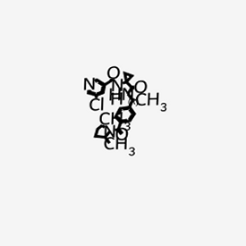 CC1CCC(C)N1C(=O)c1ccc([C@@H](C)NC(=O)C2(NC(=O)c3cncc(Cl)c3)CC2)cc1